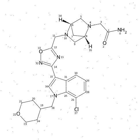 NC(=O)CN1C[C@@H]2C[C@H]1CN2Cc1nc(-c2cn(CC3CCOCC3)c3c(Cl)cccc23)no1